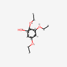 CCOc1cc(O)c(OCC)c(OCC)c1